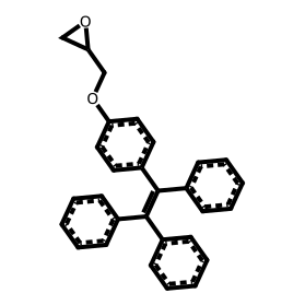 c1ccc(C(=C(c2ccccc2)c2ccc(OCC3CO3)cc2)c2ccccc2)cc1